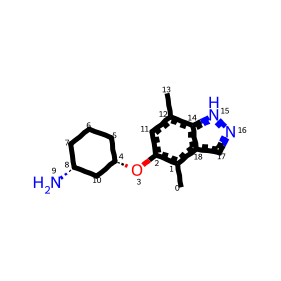 Cc1c(O[C@H]2CCC[C@@H](N)C2)cc(C)c2[nH]ncc12